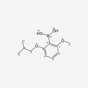 COc1cccc(OCC(C)C)c1B(O)O